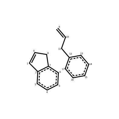 C1=Cc2ccccc2C1.C=CCc1ccccc1